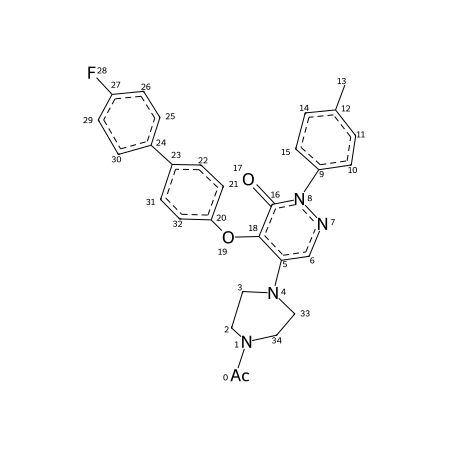 CC(=O)N1CCN(c2cnn(-c3ccc(C)cc3)c(=O)c2Oc2ccc(-c3ccc(F)cc3)cc2)CC1